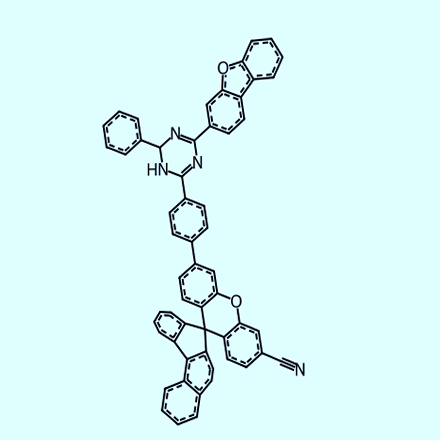 N#Cc1ccc2c(c1)Oc1cc(-c3ccc(C4=NC(c5ccc6c(c5)oc5ccccc56)=NC(c5ccccc5)N4)cc3)ccc1C21c2ccccc2-c2c1ccc1ccccc21